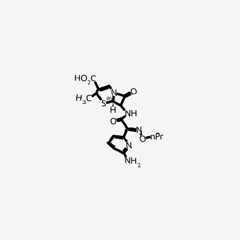 CCCON=C(C(=O)NC1C(=O)N2C=C(C(=O)O)C(C)S[C@H]12)c1cccc(N)n1